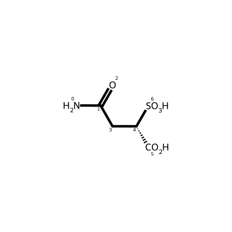 NC(=O)C[C@@H](C(=O)O)S(=O)(=O)O